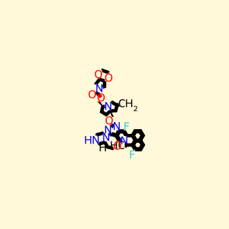 C#Cc1c(F)ccc2cccc(-c3nc4c5c(nc(OC[C@@]67CC[C@@H](COC(=O)N8CC9OCCOC9C8)N6CC(=C)C7)nc5c3F)N3CCNC[C@H]3CCO4)c12